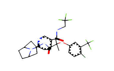 CC(C)(Oc1ccc(Cl)c(C(F)(F)F)c1)C(=O)NC1CC2CCC(C1)N2c1ccc(C(=O)NCC(F)(F)F)cn1